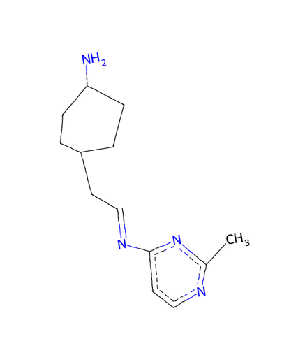 Cc1nccc(N=CCC2CCC(N)CC2)n1